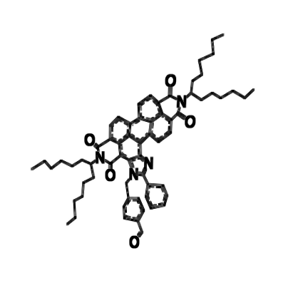 CCCCCCC(CCCCCC)N1C(=O)c2ccc3c4ccc5c6c(c7c(nc(-c8ccccc8)n7Cc7ccc(C=O)cc7)c(c7ccc(c2c37)C1=O)c64)C(=O)N(C(CCCCCC)CCCCCC)C5=O